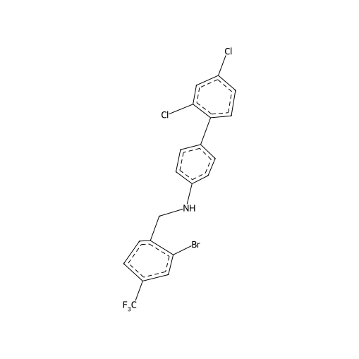 FC(F)(F)c1ccc(CNc2ccc(-c3ccc(Cl)cc3Cl)cc2)c(Br)c1